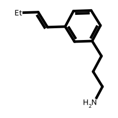 CC/C=C/c1cccc(CCCN)c1